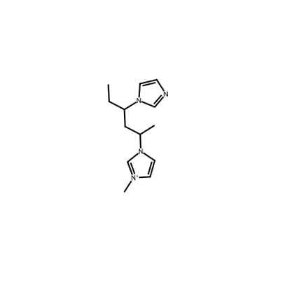 CCC(CC(C)n1cc[n+](C)c1)n1ccnc1